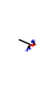 CCCCCCCCCCCCCCCCCCC[C@H](COP(=O)(O)OC[C@](C)(CCc1ccc2c(N)ncnn12)OC)OCc1ccc(N/C=N\C=N)c(C#N)c1